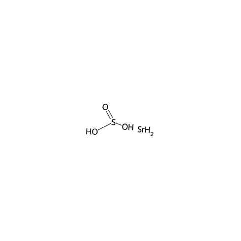 O=S(O)O.[SrH2]